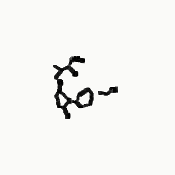 C=C(C)C(=O)OC.C=CC#N.O=C1C=CC(=O)N1c1ccccc1